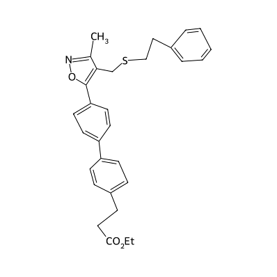 CCOC(=O)CCc1ccc(-c2ccc(-c3onc(C)c3CSCCc3ccccc3)cc2)cc1